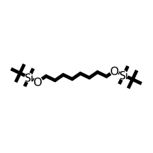 CC(C)(C)[Si](C)(C)OCCCCCCCCO[Si](C)(C)C(C)(C)C